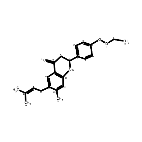 CCOOc1ccc(C2CC(=O)c3cc(CC=C(C)C)c(C)cc3O2)cc1